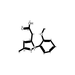 COc1ccccc1-n1nc(C)cc1CC(=O)O